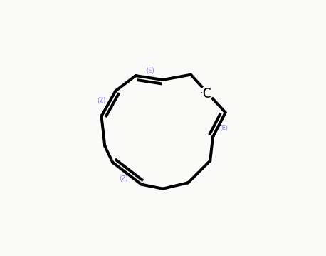 [CH]1/C=C/CCC/C=C\C/C=C\C=C\C1